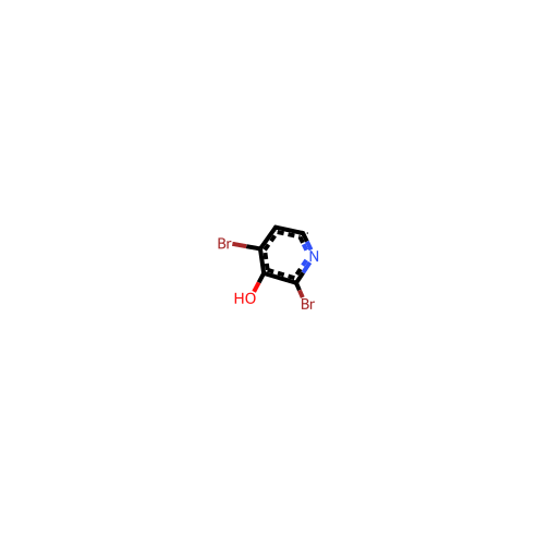 Oc1c(Br)c[c]nc1Br